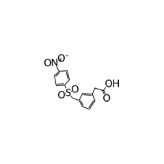 O=C(O)Cc1cccc(CS(=O)(=O)c2ccc([N+](=O)[O-])cc2)c1